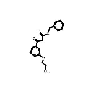 CCCOc1cccc(C(=O)CC(=O)OCc2ccccc2)c1